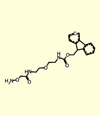 NOCC(=O)NCCOCCNC(=O)OCC1c2ccccc2-c2ccccc21